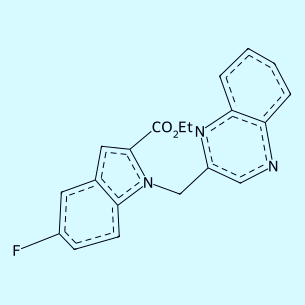 CCOC(=O)c1cc2cc(F)ccc2n1Cc1cnc2ccccc2n1